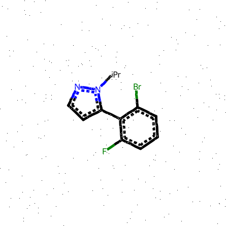 CC(C)n1nccc1-c1c(F)cccc1Br